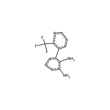 Nc1cccc(-c2cccnc2C(F)(F)F)c1N